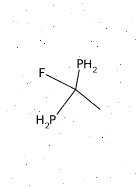 CC(F)(P)P